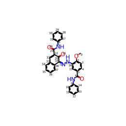 COc1ccc(C(=O)Nc2ccccc2)cc1N/N=C1\C(=O)C(C(=O)Nc2ccccc2)=Cc2ccccc21